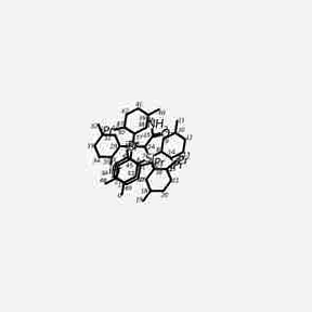 CC1CCC(C(C)C)C([Si](C2CC(C)CCC2C(C)C)(C2CC(C)CCC2C(C)C)C(C(N)=O)[Si](C2CC(C)CCC2C(C)C)(C2CC(C)CCC2C(C)C)C2CC(C)CCC2C(C)C)C1